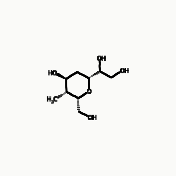 C[C@@H]1[C@@H](O)C[C@H](C(O)CO)O[C@@H]1CO